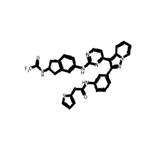 O=C(Cc1cccs1)Nc1cccc(-c2nn3ccccc3c2-c2ccnc(Nc3ccc4c(c3)CC(NC(=O)C(F)(F)F)C4)n2)c1